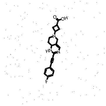 O=C(O)C1CC(N2CCC3NC(C#Cc4ccc(F)cc4)=NC=C3C2)C1